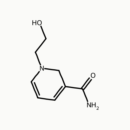 NC(=O)C1=CC=CN(CCO)C1